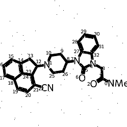 CNC(=O)Cn1c(=O)n(C2CCN(C3Cc4cccc5ccc(C#N)c3c45)CC2)c2ccccc21